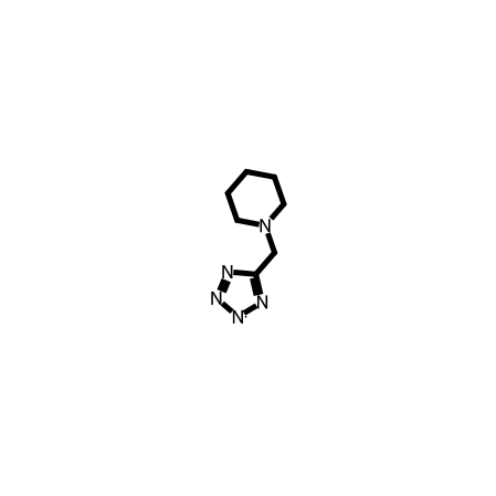 C1CCN(CC2=N[N]N=N2)CC1